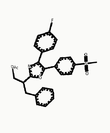 CC(=O)OCC(Cc1ccccc1)c1nc(-c2ccc(F)cc2)c(-c2ccc(S(C)(=O)=O)cc2)o1